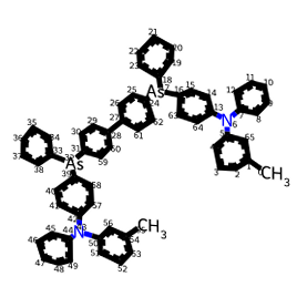 Cc1cccc(N(c2ccccc2)c2ccc([As](c3ccccc3)c3ccc(-c4ccc([As](c5ccccc5)c5ccc(N(c6ccccc6)c6cccc(C)c6)cc5)cc4)cc3)cc2)c1